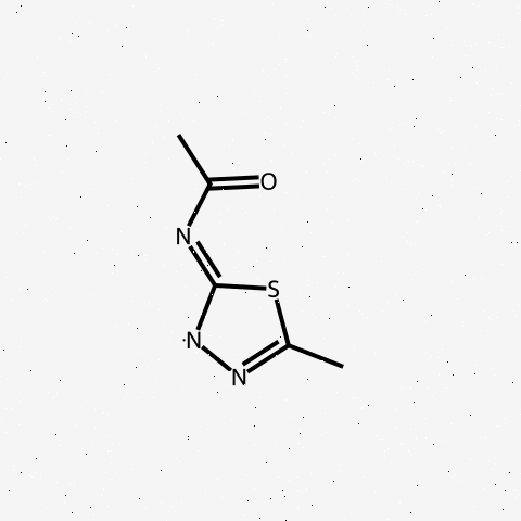 CC(=O)N=C1[N]N=C(C)S1